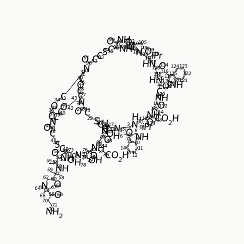 CC(C)[C@@H]1NC(=O)[C@H](Cc2c[nH]c3ccccc23)NC(=O)[C@@H]2CSCCC(=O)N3CCOCCN(CCOCCN(CCOCC3)C(=O)CCSC[C@H](NC(=O)[C@H](C)NC(C)(C)C(=O)CN(C)C(C)(C)C(=O)CCN)C(=O)N[C@@H]([C@@H](C)O)C(=O)N[C@@H](CCC(=O)O)C(=O)N2)C(=O)CCSC[C@@H](C(N)=O)NC(=O)[C@@H]2CCCN2C(=O)[C@H](C(C)C)NC(=O)[C@H](Cc2c[nH]c3ccccc23)NC(=O)CNC(=O)[C@H](CC(=O)O)NC1=O